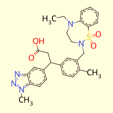 CCN1CCN(Cc2cc(C(CC(=O)O)c3ccc4c(c3)nnn4C)ccc2C)S(=O)(=O)c2ccccc21